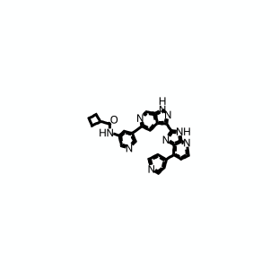 O=C(Nc1cncc(-c2cc3c(-c4nc5c(-c6ccncc6)ccnc5[nH]4)n[nH]c3cn2)c1)C1CCC1